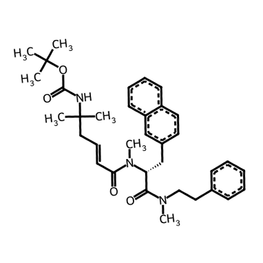 CN(CCc1ccccc1)C(=O)[C@@H](Cc1ccc2ccccc2c1)N(C)C(=O)/C=C/CC(C)(C)NC(=O)OC(C)(C)C